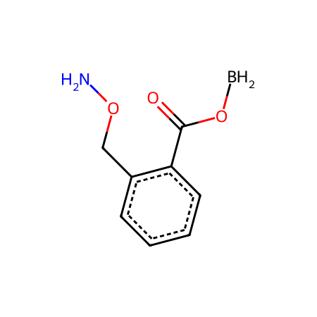 BOC(=O)c1ccccc1CON